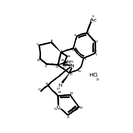 CC(=O)c1ccc2c(c1)[C@@]13CCCC[C@H]1[C@@H](C2)N(C(C)c1ccco1)CC3.Cl